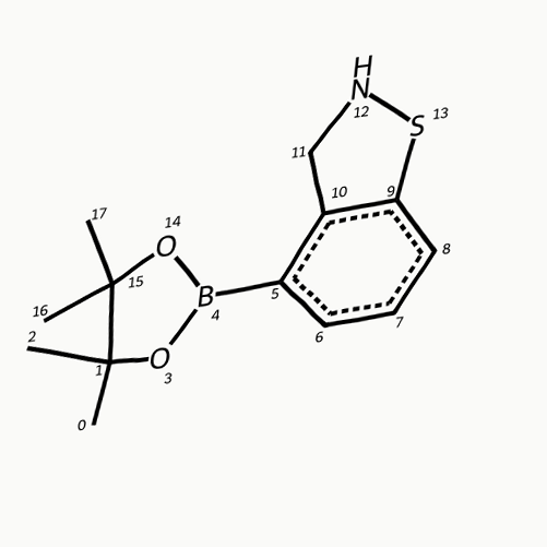 CC1(C)OB(c2cccc3c2CNS3)OC1(C)C